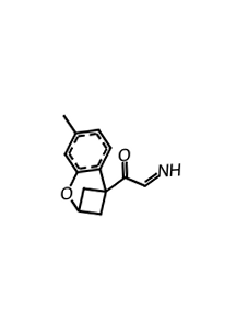 Cc1ccc2c(c1)OC1CC2(C(=O)C=N)C1